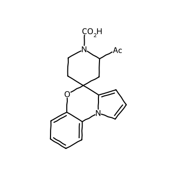 CC(=O)C1CC2(CCN1C(=O)O)Oc1ccccc1-n1cccc12